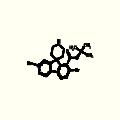 CC(C)(C)OC(=O)c1c(Br)ccc2c1C1(CCNCC1)c1cc(Br)ccc1-2